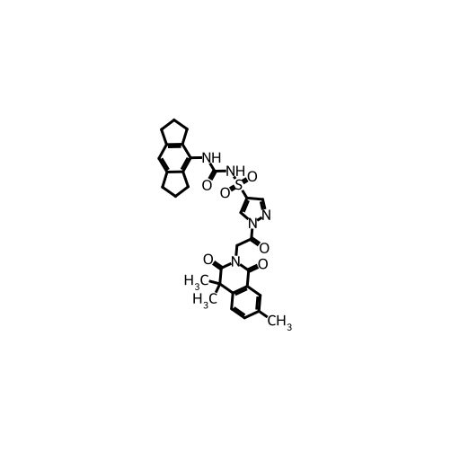 Cc1ccc2c(c1)C(=O)N(CC(=O)n1cc(S(=O)(=O)NC(=O)Nc3c4c(cc5c3CCC5)CCC4)cn1)C(=O)C2(C)C